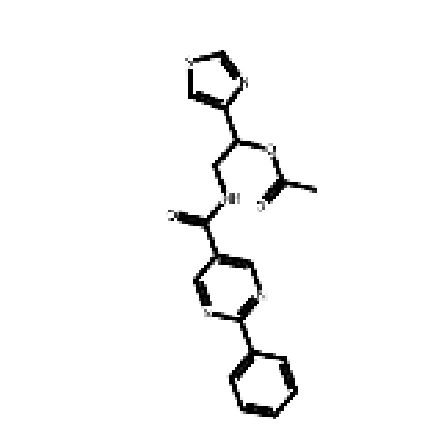 CC(=O)OC(CNC(=O)c1cnc(-c2ccccc2)nc1)c1cscn1